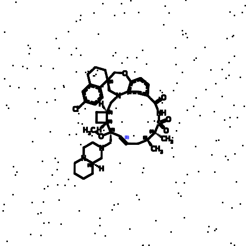 CO[C@]1(CN2CCN3CCCC[C@@H]3C2)/C=C/C[C@H](C)[C@@H](C)S(=O)(=O)NC(=O)c2ccc3c(c2)N(C[C@@H]2CC[C@H]21)C[C@@]1(CCCc2cc(Cl)ccc21)CO3